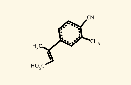 CC(=CC(=O)O)c1ccc(C#N)c(C)c1